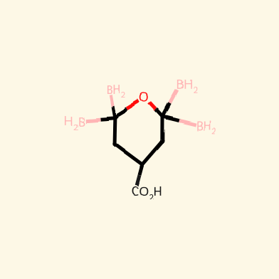 BC1(B)CC(C(=O)O)CC(B)(B)O1